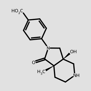 C[C@]12CCNC[C@@]1(O)CN(c1ccc(C(=O)O)cc1)C2=O